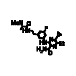 CCc1nc(C(N)=O)c(Nc2cc(F)cc(CCNC(=O)[C@H](C)NC)c2)nc1C1CC1